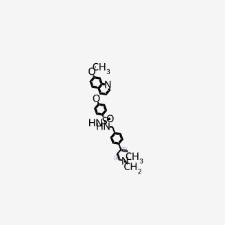 C=N/C=C\C(=C/C)c1ccc(CNS(=N)(=O)c2ccc(Oc3ccnc4cc(OC)ccc34)cc2)cc1